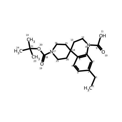 CCc1ccc2c(c1)N(C(=O)O)CCC21CCN(C(=O)OC(C)(C)C)CC1